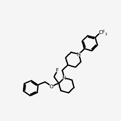 FCC1(OCc2ccccc2)CCCCN1CC1CCN(c2ccc(C(F)(F)F)cc2)CC1